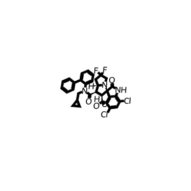 O=C(O)[C@H]1[C@@H](C(=O)N(CC2CC2)c2ccccc2-c2ccccc2)[C@H]2CC(F)(F)CN2[C@]12C(=O)Nc1c(Cl)cc(Cl)cc12